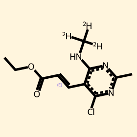 [2H]C([2H])([2H])Nc1nc(C)nc(Cl)c1/C=C/C(=O)OCC